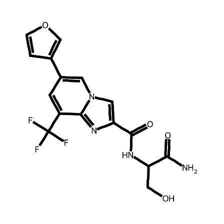 NC(=O)C(CO)NC(=O)c1cn2cc(-c3ccoc3)cc(C(F)(F)F)c2n1